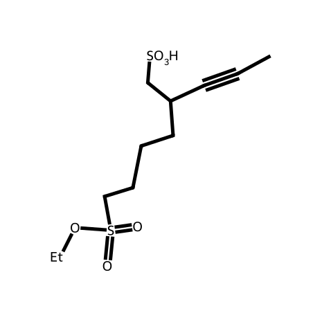 CC#CC(CCCCS(=O)(=O)OCC)CS(=O)(=O)O